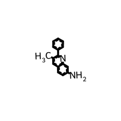 Cc1cc2ccc(N)cc2nc1-c1ccccc1